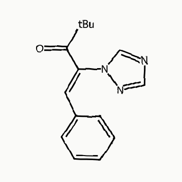 CC(C)(C)C(=O)C(=Cc1ccccc1)n1cncn1